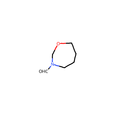 O=CN1CCCCOC1